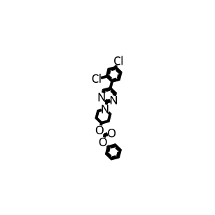 O=C(Oc1ccccc1)OC1CCN(c2ncc(-c3ccc(Cl)cc3Cl)cn2)CC1